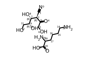 N#C[C@@H](C(=O)CO)[C@@H](O)[C@H](O)CO.NCCCCC(N)C(=O)O